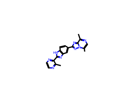 Cc1nccnc1-c1nc2cc(-c3nc4c(C)ncc(C)n4n3)ccc2[nH]1